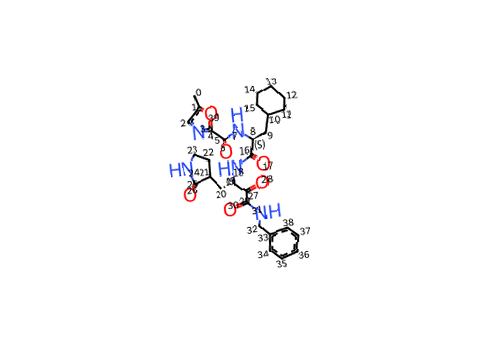 Cc1cnc(C(=O)N[C@@H](CC2CCCCC2)C(=O)N[C@@H](CC2CCNC2=O)C(=O)C(=O)NCc2ccccc2)o1